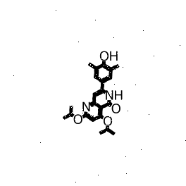 Cc1cc(-c2cc3nc(OC(C)C)cc(OC(C)C)c3c(=O)[nH]2)cc(C)c1O